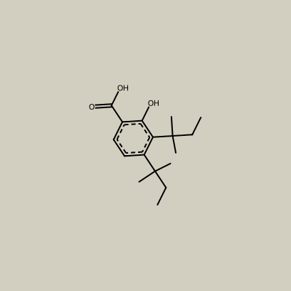 CCC(C)(C)c1ccc(C(=O)O)c(O)c1C(C)(C)CC